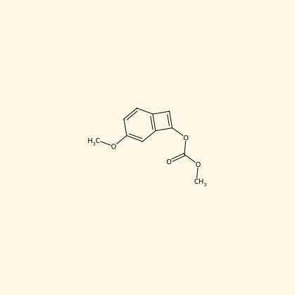 COC(=O)OC1=Cc2ccc(OC)cc21